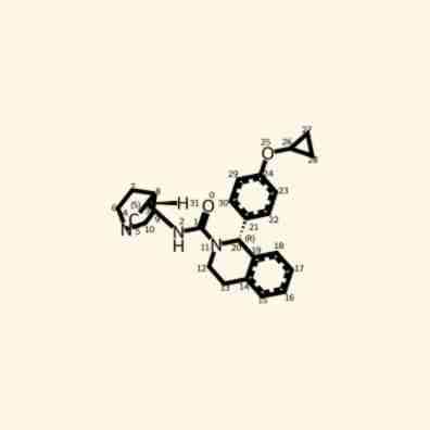 O=C(N[C@@H]1CN2CCC1CC2)N1CCc2ccccc2[C@H]1c1ccc(OC2CC2)cc1